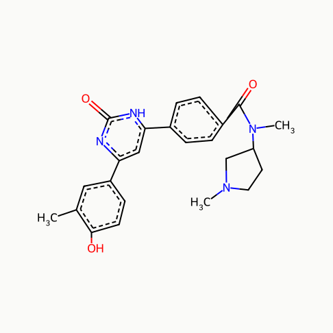 Cc1cc(-c2cc(-c3ccc(C(=O)N(C)C4CCN(C)C4)cc3)[nH]c(=O)n2)ccc1O